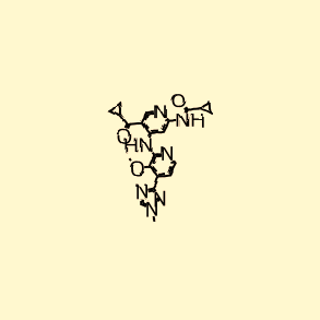 COc1c(-c2ncn(C)n2)ccnc1Nc1cc(NC(=O)C2CC2)ncc1C(=O)C1CC1